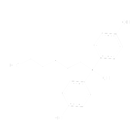 CCCCCCC(C)(c1ccc(O)cc1)c1ccc(O)cc1